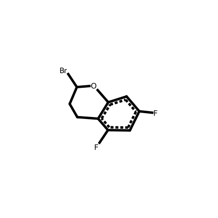 Fc1cc(F)c2c(c1)OC(Br)CC2